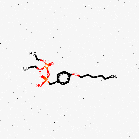 CCCCCCOc1ccc(CP(=O)(O)OP(=O)(OCC)OCC)cc1